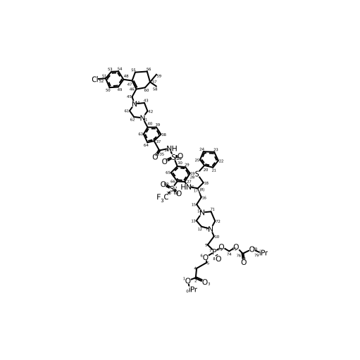 CC(C)OC(=O)CCOP(=O)(CCN1CCN(CC[C@H](CSc2ccccc2)Nc2ccc(S(=O)(=O)NC(=O)c3ccc(N4CCN(CC5=C(c6ccc(Cl)cc6)CCC(C)(C)C5)CC4)cc3)cc2S(=O)(=O)C(F)(F)F)CC1)OCOC(=O)OC(C)C